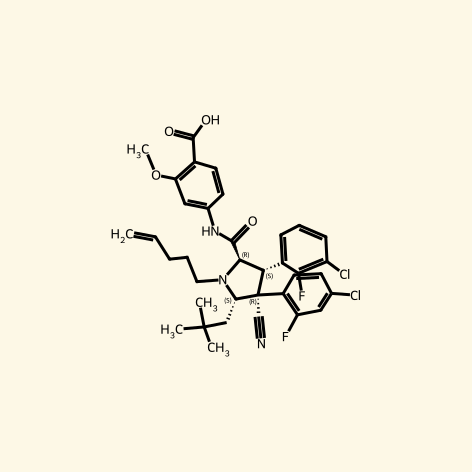 C=CCCCN1[C@@H](CC(C)(C)C)[C@](C#N)(c2ccc(Cl)cc2F)[C@@H](c2cccc(Cl)c2F)[C@@H]1C(=O)Nc1ccc(C(=O)O)c(OC)c1